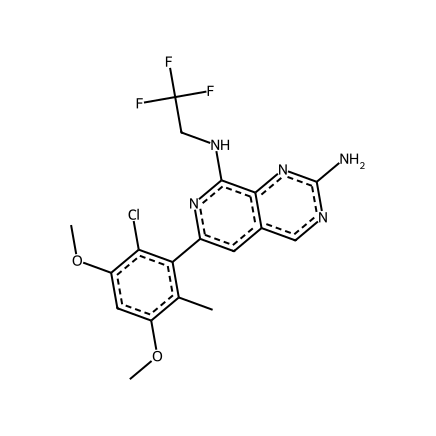 COc1cc(OC)c(Cl)c(-c2cc3cnc(N)nc3c(NCC(F)(F)F)n2)c1C